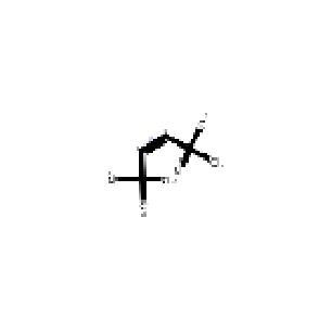 ClC(Cl)(Cl)/C=C\C(Cl)(Cl)Cl